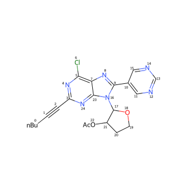 CCCCC#Cc1nc(Cl)c2nc(-c3cncnc3)n(C3OCCC3OC(C)=O)c2n1